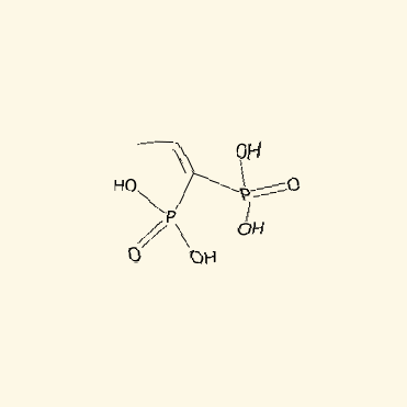 CC=C(P(=O)(O)O)P(=O)(O)O